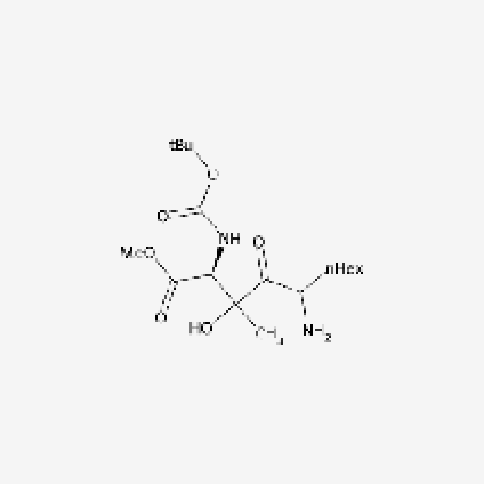 CCCCCCC(N)C(=O)C(C)(O)[C@H](NC(=O)OC(C)(C)C)C(=O)OC